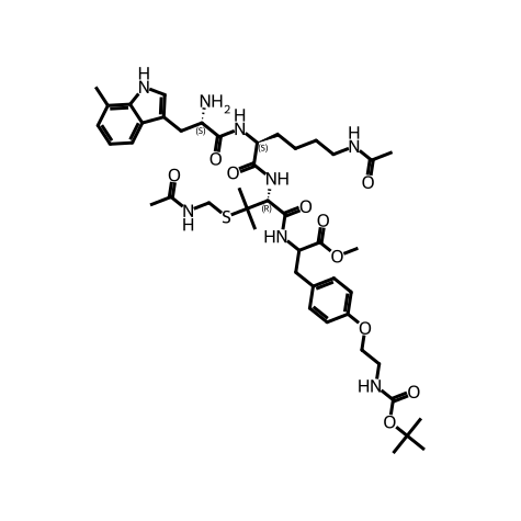 COC(=O)C(Cc1ccc(OCCNC(=O)OC(C)(C)C)cc1)NC(=O)[C@@H](NC(=O)[C@H](CCCCNC(C)=O)NC(=O)[C@@H](N)Cc1c[nH]c2c(C)cccc12)C(C)(C)SCNC(C)=O